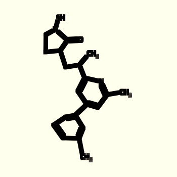 Cc1cccc(-c2cc(C)nc(C(C)CC3CCN(S)C3=O)c2)c1